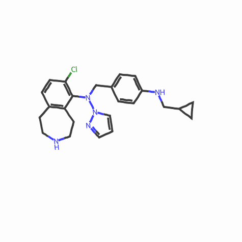 Clc1ccc2c(c1N(Cc1ccc(NCC3CC3)cc1)n1cccn1)CCNCC2